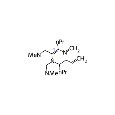 C=CCC(CCC)N(CNC)/C(CNC)=C(/CCC)N=C